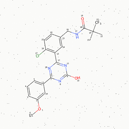 CCOc1cccc(-c2nc(O)nc(-c3cc(CNC(=O)C(C)(C)C(F)(F)F)ccc3Cl)n2)c1